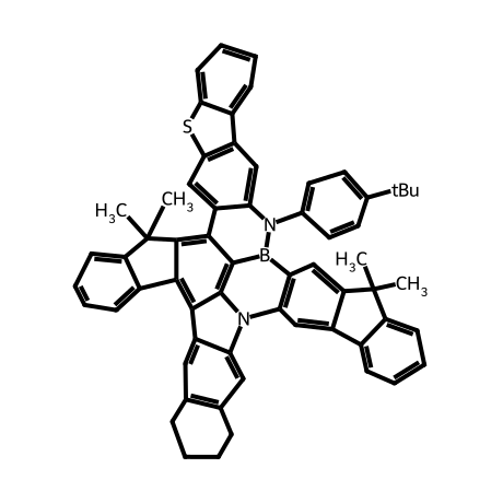 CC(C)(C)c1ccc(N2B3c4cc5c(cc4-n4c6cc7c(cc6c6c8c(c(c3c64)-c3cc4sc6ccccc6c4cc32)C(C)(C)c2ccccc2-8)CCCC7)-c2ccccc2C5(C)C)cc1